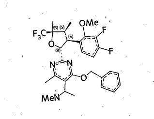 CNC(C)c1c(C)nc([C@@H]2O[C@@](C)(C(F)(F)F)[C@@H](C)[C@H]2c2ccc(F)c(F)c2OC)nc1OCc1ccccc1